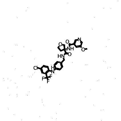 COc1cncc(C(=O)N[C@@]2(C(=O)NCc3ccc(Nc4ccc(Cl)cc4C(F)(F)F)cc3)CCOC2)c1